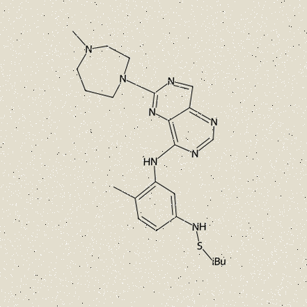 CCC(C)SNc1ccc(C)c(Nc2ncnc3cnc(N4CCCN(C)CC4)nc23)c1